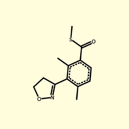 CSC(=O)c1ccc(C)c(C2=NOCC2)c1C